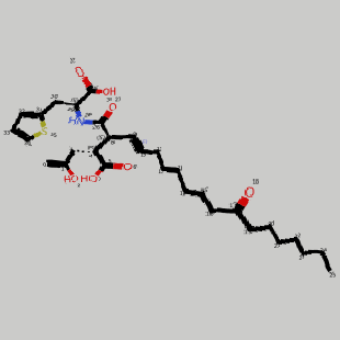 C=C(O)C[C@@H](C(=O)O)[C@H](/C=C/CCCCCCC(=O)CCCCCCC)C(=O)N[C@@H](Cc1cccs1)C(=O)O